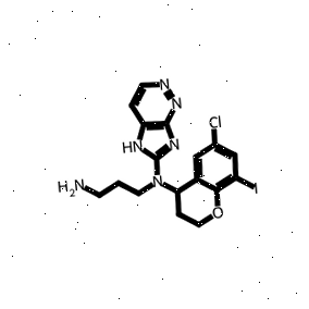 NCCCN(c1nc2nnccc2[nH]1)C1CCOc2c(I)cc(Cl)cc21